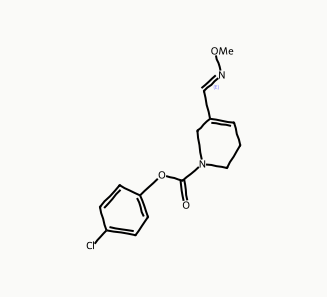 CO/N=C/C1=CCCN(C(=O)Oc2ccc(Cl)cc2)C1